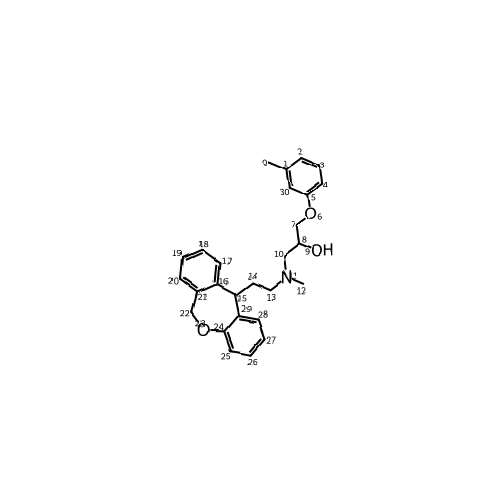 Cc1cccc(OCC(O)CN(C)CCC2c3ccccc3COc3ccccc32)c1